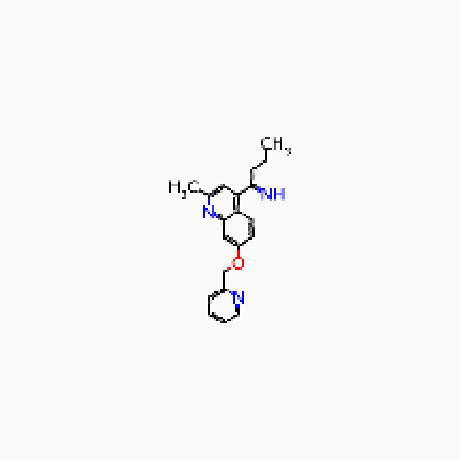 CCCC(=N)c1cc(C)nc2cc(OCc3ccccn3)ccc12